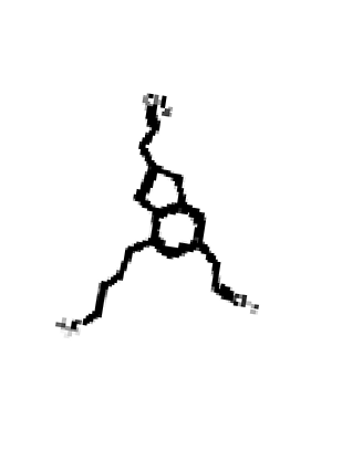 C=CCC1=Cc2c(cc(CC=C)cc2CCCCC)[CH]1